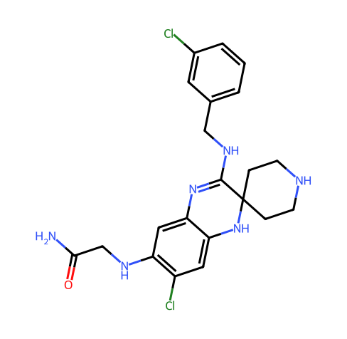 NC(=O)CNc1cc2c(cc1Cl)NC1(CCNCC1)C(NCc1cccc(Cl)c1)=N2